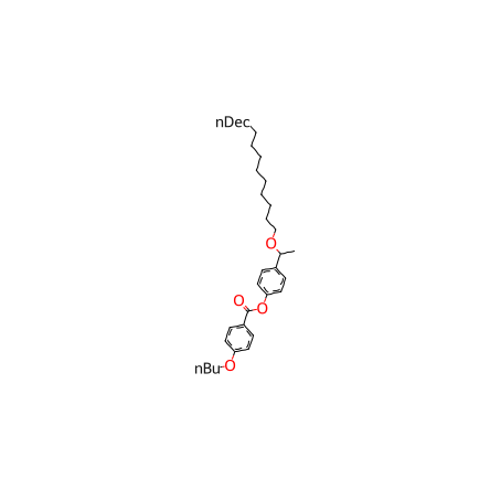 CCCCCCCCCCCCCCCCCCCOC(C)c1ccc(OC(=O)c2ccc(OCCCC)cc2)cc1